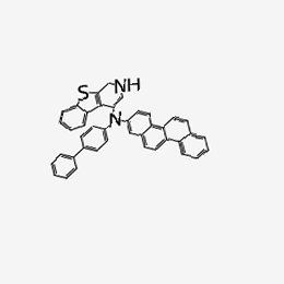 C1=C(N(c2ccc(-c3ccccc3)cc2)c2ccc3c(ccc4c5ccccc5ccc34)c2)c2c(sc3ccccc23)CN1